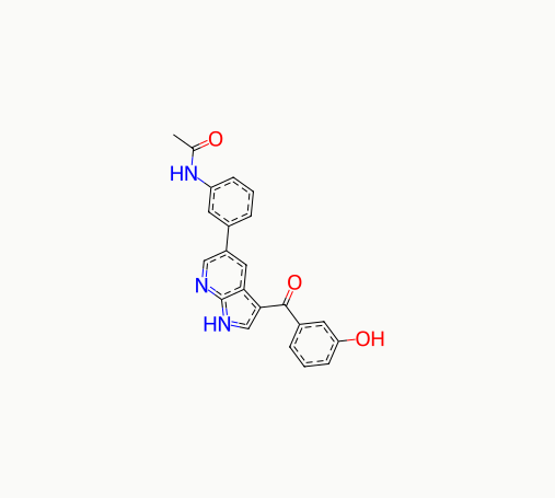 CC(=O)Nc1cccc(-c2cnc3[nH]cc(C(=O)c4cccc(O)c4)c3c2)c1